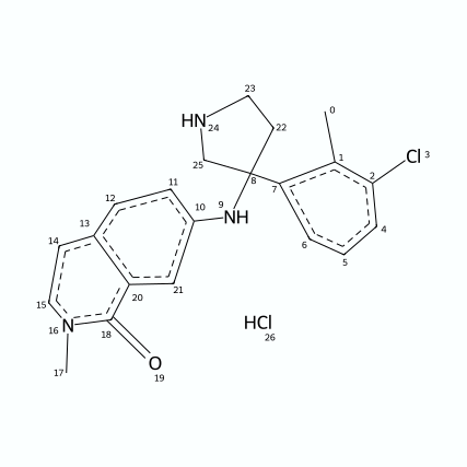 Cc1c(Cl)cccc1C1(Nc2ccc3ccn(C)c(=O)c3c2)CCNC1.Cl